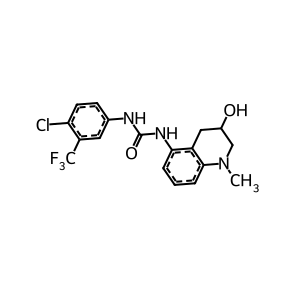 CN1CC(O)Cc2c(NC(=O)Nc3ccc(Cl)c(C(F)(F)F)c3)cccc21